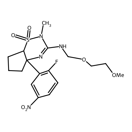 COCCOCNC1=NC2(c3cc([N+](=O)[O-])ccc3F)CCCC2S(=O)(=O)N1C